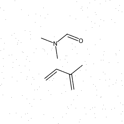 C=CC(=C)C.CN(C)C=O